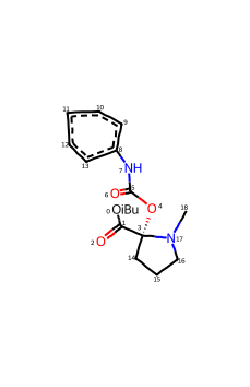 CC(C)COC(=O)[C@]1(OC(=O)Nc2ccccc2)CCCN1C